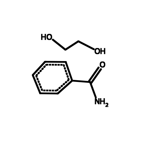 NC(=O)c1ccccc1.OCCO